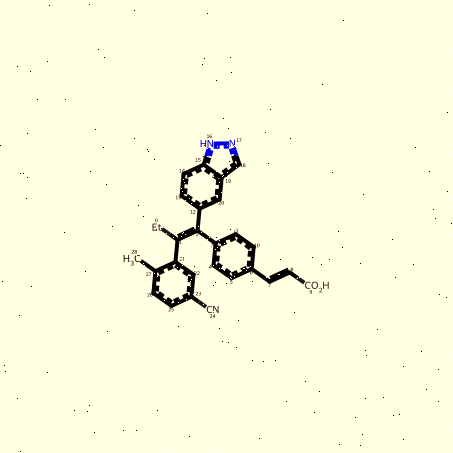 CC/C(=C(/c1ccc(/C=C/C(=O)O)cc1)c1ccc2[nH]ncc2c1)c1cc(C#N)ccc1C